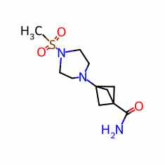 CS(=O)(=O)N1CCN(C23CC(C(N)=O)(C2)C3)CC1